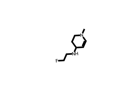 CN1C=CC(NCCF)CC1